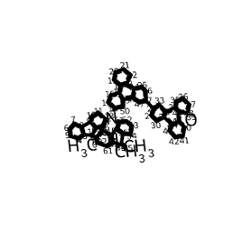 CC1(C)c2ccccc2-c2ccc(N(c3ccc4c5ccccc5c5ccc(-c6ccc7c(c6)c6cccc8oc9cccc7c9c86)cc5c4c3)c3cccc4c3-c3ccccc3C4(C)C)cc21